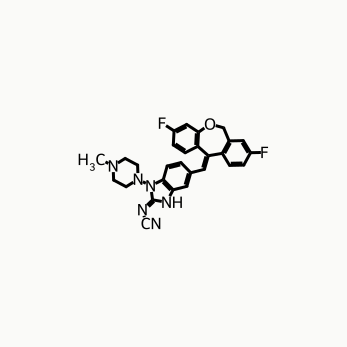 CN1CCN(n2c(=NC#N)[nH]c3cc(C=C4c5ccc(F)cc5COc5cc(F)ccc54)ccc32)CC1